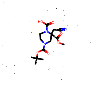 COC(=O)C1(CC#N)CN(C(=O)OC(C)(C)C)CCN1C(=O)O